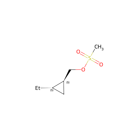 CC[C@H]1C[C@@H]1COS(C)(=O)=O